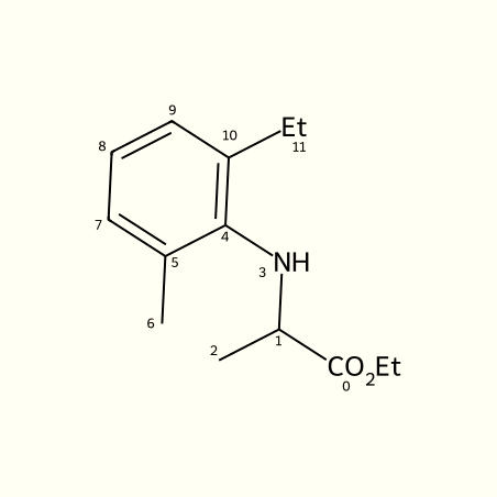 CCOC(=O)C(C)Nc1c(C)cccc1CC